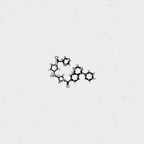 O=C(c1ccc2c(-c3ccccc3)ncnc2c1)N1CC(N[C@H]2CCN(C(=O)c3cscn3)C2)C1